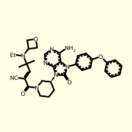 CCN(C1COC1)C(C)(C)C=C(C#N)C(=O)N1CCC[C@H](n2c(=O)n(-c3ccc(Oc4ccccc4)cc3)c3c(N)ncnc32)C1